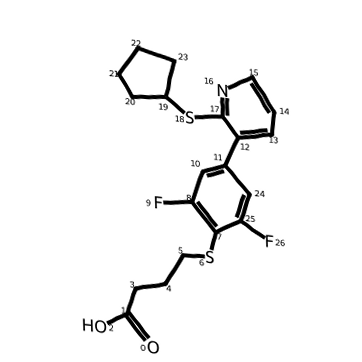 O=C(O)CCCSc1c(F)cc(-c2cccnc2SC2CCCC2)cc1F